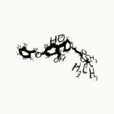 CC(C)(C)OC(=O)CCN1CCC(O)(c2ccc(OCc3ccccc3)cc2CO)CC1